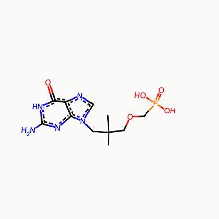 CC(C)(COCP(=O)(O)O)Cn1cnc2c(=O)[nH]c(N)nc21